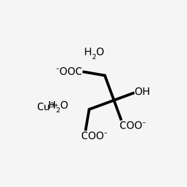 O.O.O=C([O-])CC(O)(CC(=O)[O-])C(=O)[O-].[Cu+3]